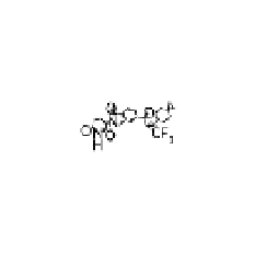 O=C1CCC(N2Cc3cc(C(=O)C[C@H](C4CCC5(CC4)CC5)C(F)(F)F)ccc3C2=O)C(=O)N1